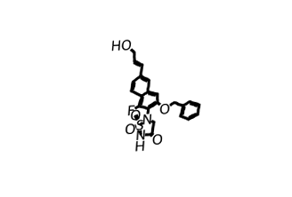 O=C1CN(c2c(OCc3ccccc3)cc3cc(/C=C/CO)ccc3c2F)S(=O)(=O)N1